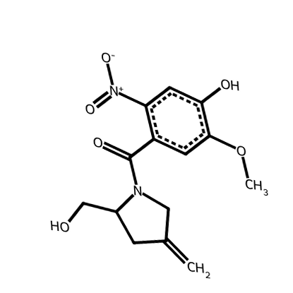 C=C1CC(CO)N(C(=O)c2cc(OC)c(O)cc2[N+](=O)[O-])C1